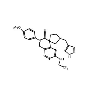 COc1ccc(N2Cc3cnc(NCC(F)(F)F)nc3C3(CCN(Cc4cc[nH]n4)C3)C2=O)cc1